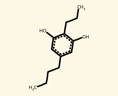 CCCCc1cc(O)c(CCC)c(O)c1